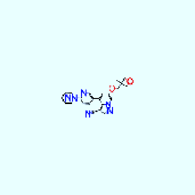 CN1C2CC1CN(c1ccc(-c3cc(OCC4(C)COC4)cn4ncc(C#N)c34)cn1)C2